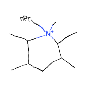 CCC[N+]1(C)C(C)C(C)CC(C)C1C